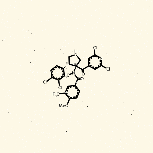 COc1ccc(C(=O)N(C)[C@]2(C(=O)c3cc(Cl)nc(Cl)c3)CNC[C@H]2c2ccc(Cl)c(Cl)c2)cc1C(F)(F)F